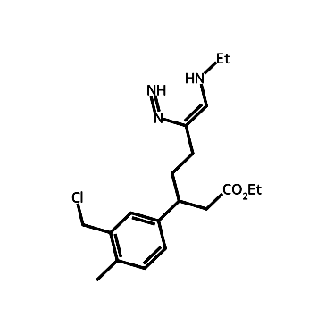 CCN/C=C(/CCC(CC(=O)OCC)c1ccc(C)c(CCl)c1)N=N